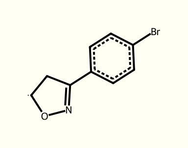 Brc1ccc(C2=NO[CH]C2)cc1